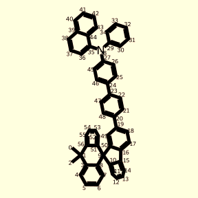 CC1(C)c2ccccc2C2(c3ccccc3-c3ccc(-c4ccc(-c5ccc(N(c6ccccc6)c6cccc7ccccc67)cc5)cc4)cc32)c2ccccc21